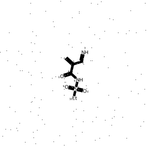 C=C(C=N)C(=O)NS(=O)(=O)CC